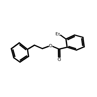 CCc1ccccc1C(=O)OCCc1ccccc1